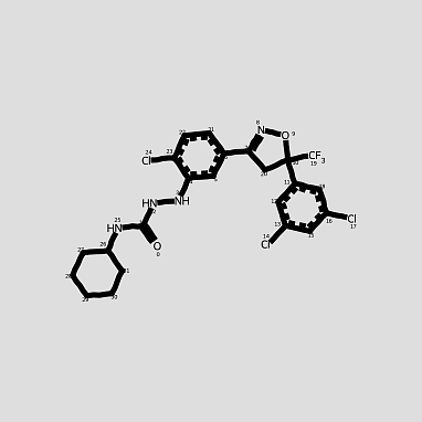 O=C(NNc1cc(C2=NOC(c3cc(Cl)cc(Cl)c3)(C(F)(F)F)C2)ccc1Cl)NC1CCCCC1